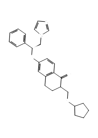 O=C1c2ccc(O[C@H](Cn3ccnc3)c3ccccc3)cc2CCC1CSC1CCCC1